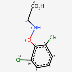 O=C(O)CNOc1c(Cl)cccc1Cl